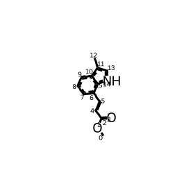 COC(=O)C=Cc1cccc2c(C)c[nH]c12